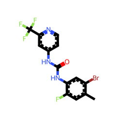 Cc1cc(F)c(NC(=O)Nc2ccnc(C(F)(F)F)c2)cc1Br